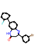 O=C1CC(c2cccc(Br)c2)=Nc2ccc(-c3ccccc3F)cc2N1